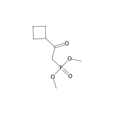 COP(=O)(CC(=O)C1CCC1)OC